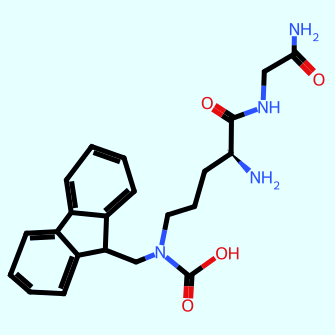 NC(=O)CNC(=O)[C@@H](N)CCCN(CC1c2ccccc2-c2ccccc21)C(=O)O